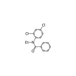 CCN(C(=O)c1ccccc1)c1ccc(Cl)cc1Cl